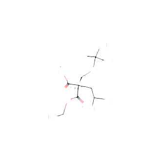 CCOC(=O)[C@@](CSC(C)(C)C)(CC(C)C)C(=O)O